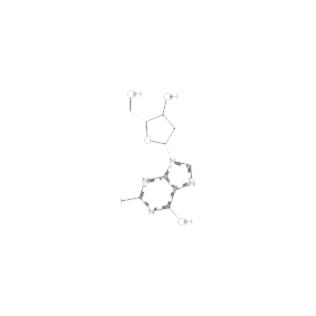 OC[C@H]1O[C@@H](n2cnc3c(O)nc(I)nc32)CC1O